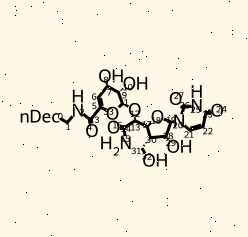 CCCCCCCCCCCNC(=O)C1=C[C@H](O)[C@H](O)[C@@H](O[C@@H](C(N)=O)[C@H]2O[C@@H](n3ccc(=O)[nH]c3=O)[C@H](O)[C@@H]2CO)O1